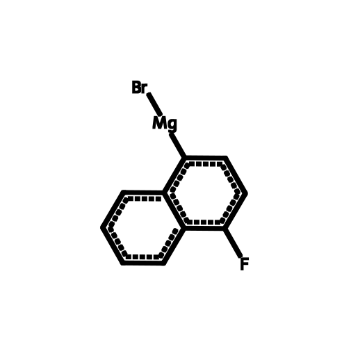 Fc1cc[c]([Mg][Br])c2ccccc12